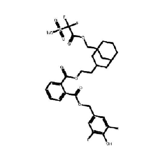 O=C(OCCC1CC2CCCC(COC(=O)C(F)(F)S(=O)(=O)O)(C2)C1)c1ccccc1C(=O)OCc1cc(I)c(O)c(I)c1